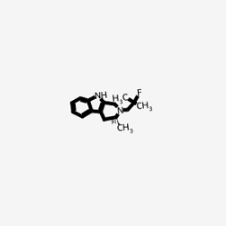 C[C@@H]1Cc2c([nH]c3ccccc23)CN1CC(C)(C)F